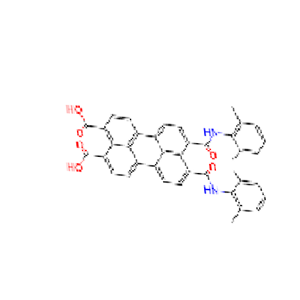 Cc1cccc(C)c1NC(=O)c1ccc2c3ccc(C(=O)O)c4c(C(=O)O)ccc(c5ccc(C(=O)Nc6c(C)cccc6C)c1c25)c43